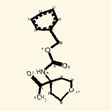 CC(=O)C1(NC(=O)OCc2ccccc2)CCOCC1